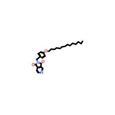 CCCCCCCCCCCCCCOc1ccc(CN2C(=O)c3ccncc3C2=O)cc1